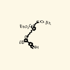 CCOC(=O)CCCOc1cccc(CCCCCCOc2cc(OCC)cc(-c3ccc4[nH]ccc4c3)c2)c1CCC(=O)OCC